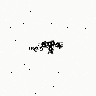 O=C(O)CCNC(=O)c1ccc(NC(Cc2ccc(-c3ccc(C(F)(F)F)cc3)cc2)C(=O)Nc2ccc(C(F)(F)F)cc2)cc1